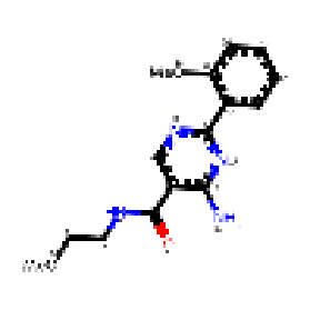 COCCNC(=O)c1cnc(-c2ccccc2OC)nc1N